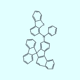 c1ccc(N(c2ccc3c(c2)C2(c4ccccc4-c4ccccc42)c2ccc4ccccc4c2-3)c2cccc3c2sc2ccccc23)cc1